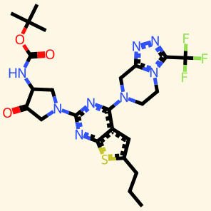 CCCc1cc2c(N3CCn4c(nnc4C(F)(F)F)C3)nc(N3CC(=O)C(NC(=O)OC(C)(C)C)C3)nc2s1